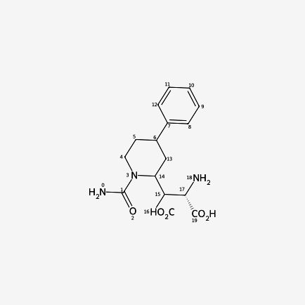 NC(=O)N1CCC(c2ccccc2)CC1C(C(=O)O)[C@H](N)C(=O)O